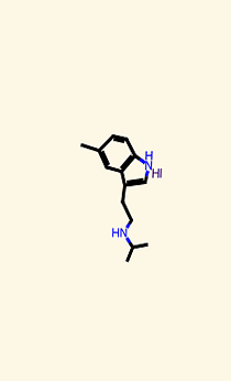 Cc1ccc2[nH]cc(CCNC(C)C)c2c1.I